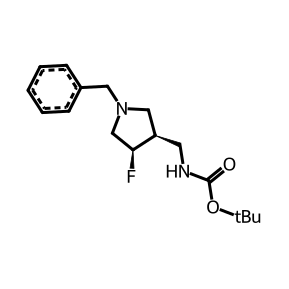 CC(C)(C)OC(=O)NC[C@@H]1CN(Cc2ccccc2)C[C@@H]1F